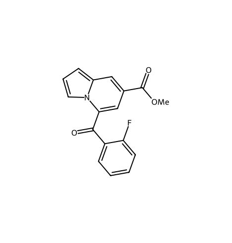 COC(=O)c1cc(C(=O)c2ccccc2F)n2cccc2c1